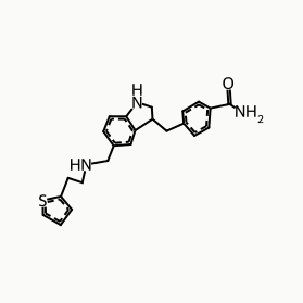 NC(=O)c1ccc(CC2CNc3ccc(CNCCc4cccs4)cc32)cc1